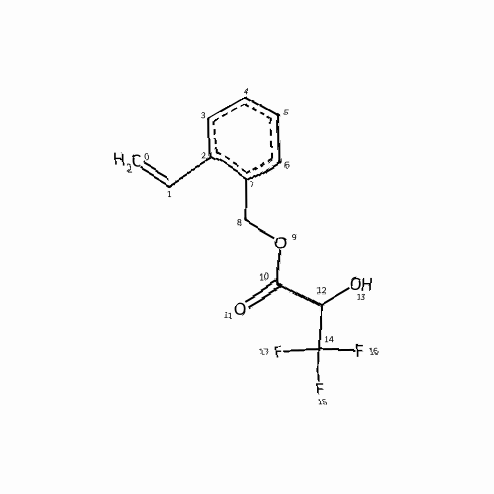 C=Cc1ccccc1COC(=O)C(O)C(F)(F)F